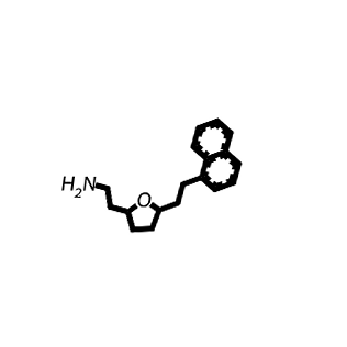 NCCC1CCC(CCc2cccc3ccccc23)O1